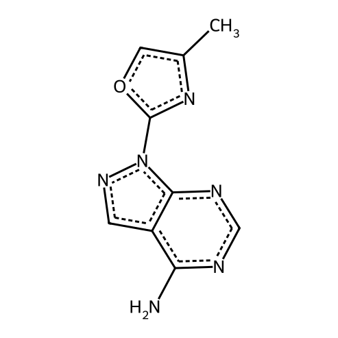 Cc1coc(-n2ncc3c(N)ncnc32)n1